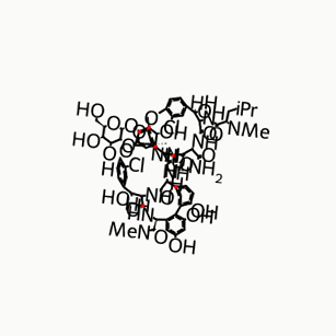 CNC(=O)[C@H]1NC(=O)[C@H]2NC(=O)[C@H](NC(=O)[C@@H]3NC(=O)C(C(N)=O)NC(=O)C(NC(=O)[C@@H](CC(C)C)NC)[C@H](O)c4ccc(c(Cl)c4)Oc4cc3cc(c4O[C@@H]3O[C@H](CO)[C@@H](O)[C@H](O)[C@H]3O[C@H]3C[C@](C)(N)[C@H](O)[C@H](C)O3)Oc3ccc(cc3Cl)[C@H]2O)c2ccc(O)c(c2)-c2c(O)cc(O)cc21